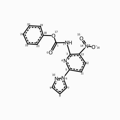 O=C(Nc1nc(-n2cccn2)ccc1[N+](=O)[O-])Oc1ccccc1